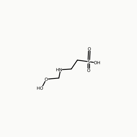 O=S(=O)(O)CCNCOO